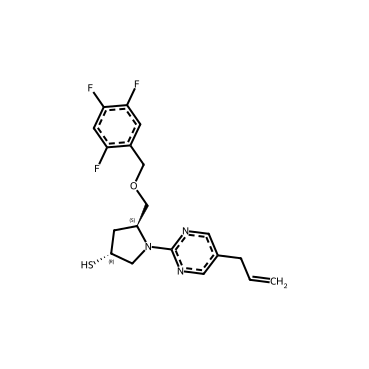 C=CCc1cnc(N2C[C@H](S)C[C@H]2COCc2cc(F)c(F)cc2F)nc1